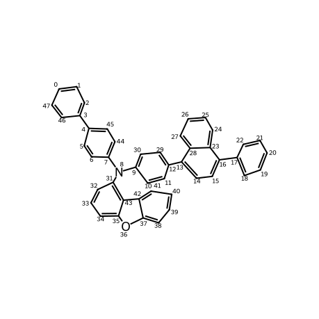 c1ccc(-c2ccc(N(c3ccc(-c4ccc(-c5ccccc5)c5ccccc45)cc3)c3cccc4oc5ccccc5c34)cc2)cc1